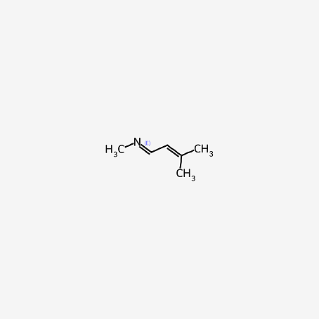 C/N=C/C=C(C)C